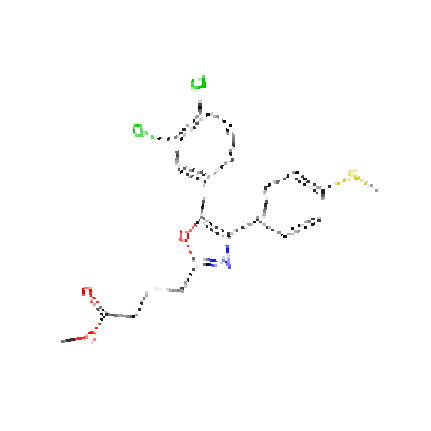 COC(=O)CCCc1nc(-c2ccc(SC)cc2)c(-c2ccc(Cl)c(Cl)c2)o1